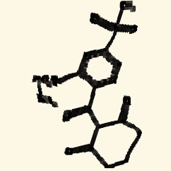 CC(C)N.CS(=O)(=O)c1ccc(C(=O)C2C(=O)CCCC2=O)c([N+](=O)[O-])c1